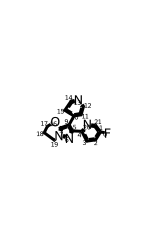 Fc1ccc(-c2nn3c(c2-c2ccncc2)OCCC3)nc1